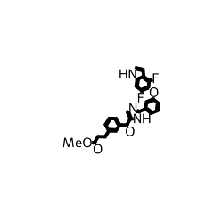 COC(=O)CCc1cccc(C(=O)c2cnc(-c3cccc(Oc4c(F)cc5[nH]ccc5c4F)c3)[nH]2)c1